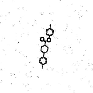 Cc1ccc(OC(=O)C2CCC(c3ccc(C)cc3)CC2)cc1